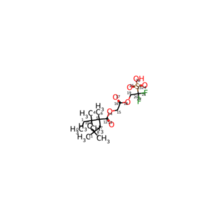 CCC(C)(C)C(C)(CC(C)(C)C)C(=O)OCC(=O)OCC(F)(F)S(=O)(=O)O